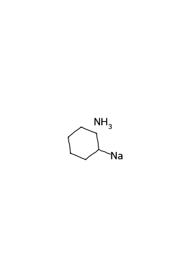 N.[Na][CH]1CCCCC1